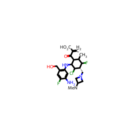 C=C(C(=O)O)C(=O)C1C(C)C(F)[C@H](CN2CC(NC)C2)C(Cl)C1Nc1cc(N)c(F)cc1CO